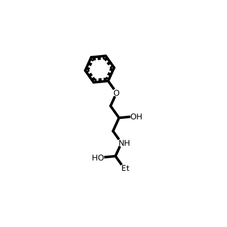 CCC(O)NCC(O)COc1ccccc1